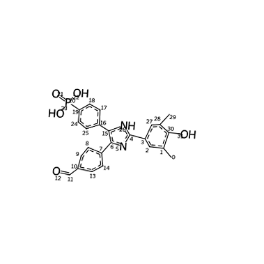 Cc1cc(-c2nc(-c3ccc(C=O)cc3)c(-c3ccc(P(=O)(O)O)cc3)[nH]2)cc(C)c1O